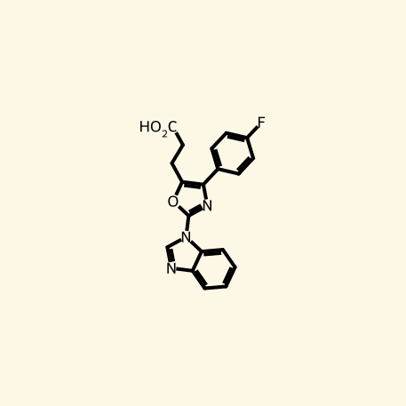 O=C(O)CCc1oc(-n2cnc3ccccc32)nc1-c1ccc(F)cc1